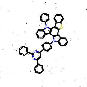 c1ccc(-c2cc(-c3ccc(-n4c5ccccc5c5c6sc7ccccc7c6c6c(c7ccccc7n6-c6ccccc6)c54)cc3)nc(-c3ccccc3)n2)cc1